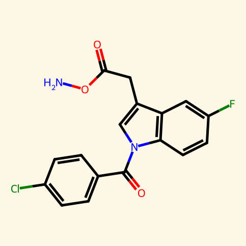 NOC(=O)Cc1cn(C(=O)c2ccc(Cl)cc2)c2ccc(F)cc12